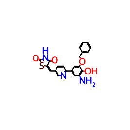 Nc1cc(-c2ccc(/C=C3/SC(=O)NC3=O)cn2)cc(OCc2ccccc2)c1O